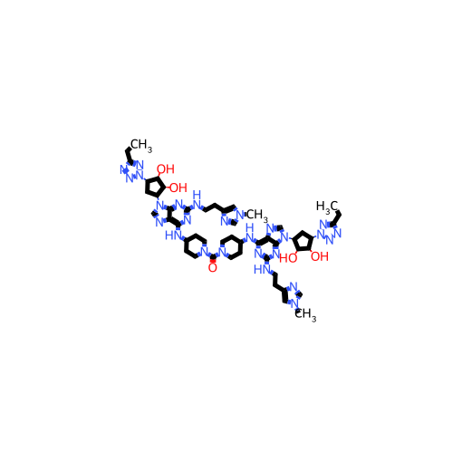 CCc1nnn([C@H]2C[C@@H](n3cnc4c(NC5CCN(C(=O)N6CCC(Nc7nc(NCCc8cn(C)cn8)nc8c7ncn8[C@@H]7C[C@H](n8nnc(CC)n8)[C@H](O)[C@@H]7O)CC6)CC5)nc(NCCc5cn(C)cn5)nc43)[C@@H](O)[C@H]2O)n1